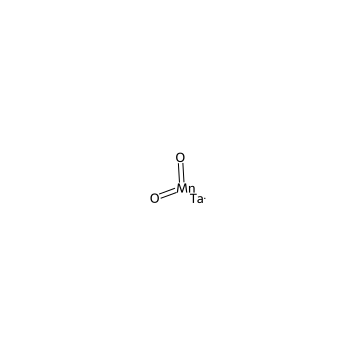 [O]=[Mn]=[O].[Ta]